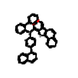 c1ccc(-c2ccccc2N(c2ccc(-c3cccc4ccccc34)cc2)c2cncc3c2oc2c4ccccc4ccc32)cc1